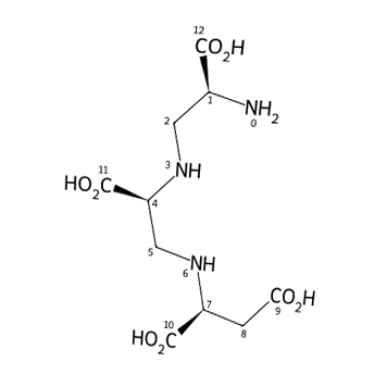 N[C@@H](CN[C@@H](CN[C@@H](CC(=O)O)C(=O)O)C(=O)O)C(=O)O